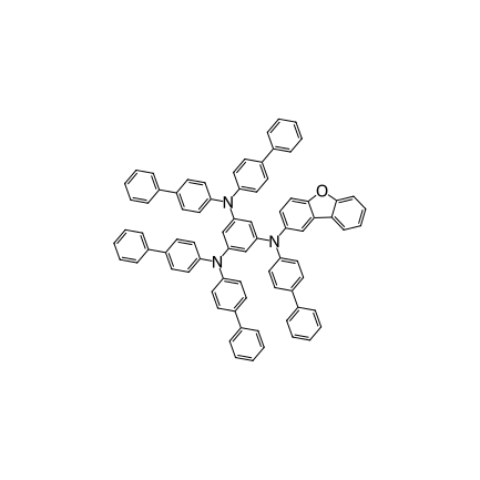 c1ccc(-c2ccc(N(c3ccc(-c4ccccc4)cc3)c3cc(N(c4ccc(-c5ccccc5)cc4)c4ccc(-c5ccccc5)cc4)cc(N(c4ccc(-c5ccccc5)cc4)c4ccc5oc6ccccc6c5c4)c3)cc2)cc1